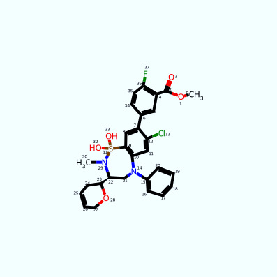 COC(=O)c1cc(-c2cc3c(cc2Cl)N(c2ccccc2)C[C@@H](C2CC=CCO2)N(C)S3(O)O)ccc1F